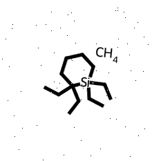 C.CCC1(CC)CCCC[Si]1(CC)CC